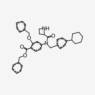 O=C(OCc1ccccc1)c1ccc(N(Cc2ccc(C3CCCCC3)cc2)C(=O)C2CCN2)cc1OCc1ccccc1